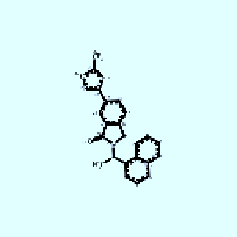 C[C@H](c1cccc2ccccc12)N1Cc2ccc(-c3noc(C(F)(F)F)n3)cc2C1=O